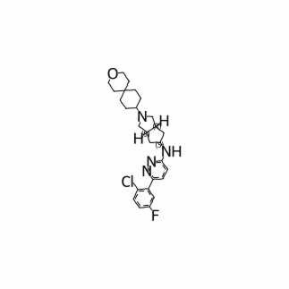 Fc1ccc(Cl)c(-c2ccc(N[C@H]3C[C@@H]4CN(C5CCC6(CCOCC6)CC5)C[C@@H]4C3)nn2)c1